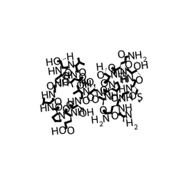 CSCC[C@H](NC(=O)CNC(=O)[C@H](CCC(N)=O)NC(=O)[C@H](C)N)C(=O)N[C@H](C(=O)N[C@@H](CCC(N)=O)C(=O)N[C@H](C(=O)N1CCC[C@H]1C(=O)N[C@@H](C)C(=O)N[C@@H](CO)C(=O)N[C@H](C(=O)N[C@@H](CO)C(=O)N[C@@H](CCC(=O)O)C(=O)N1CCC[C@H]1C(=O)N[C@H](C(=O)NCC(=O)NCC(=O)N[C@H](C(=O)N[C@H](C(=O)N[C@H](C(=O)O)[C@@H](C)O)C(C)C)[C@@H](C)O)C(C)C)C(C)C)[C@@H](C)O)[C@@H](C)O